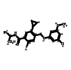 CC(C)C(NC(=O)c1cc(C2CC2)c(COc2cc(Cl)cc(OC(F)(F)F)c2)cc1F)C(=O)O